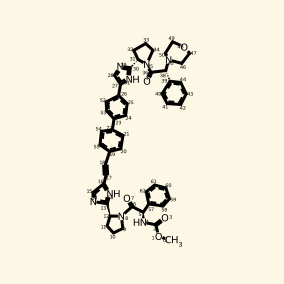 COC(=O)N[C@@H](C(=O)N1CCC[C@H]1c1ncc(C#Cc2ccc(-c3ccc(-c4cnc([C@@H]5CCCN5C(=O)[C@@H](c5ccccc5)N5CCOCC5)[nH]4)cc3)cc2)[nH]1)c1ccccc1